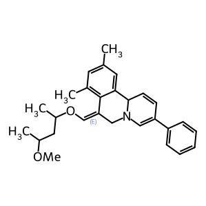 COC(C)CC(C)O/C=C1/CN2C=C(c3ccccc3)C=CC2c2cc(C)cc(C)c21